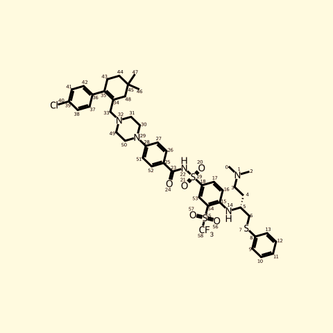 CN(C)CC[C@H](CSc1ccccc1)Nc1ccc(S(=O)(=O)NC(=O)c2ccc(N3CCN(CC4=C(c5ccc(Cl)cc5)CCC(C)(C)C4)CC3)cc2)cc1S(=O)(=O)C(F)(F)F